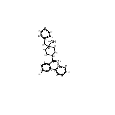 O=C(c1ccc(F)cc1-c1ccncn1)N1CCC(O)(Cc2ccccc2)CC1